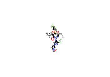 CCN(C(=O)C(C)CS(=O)(=O)CCC(F)(F)F)c1cn(-c2ccc[n+](O)c2)nc1Cl